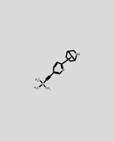 C[Si](C)(C)C#Cc1ccc(N2CC3CCC(C2)NC3)nc1